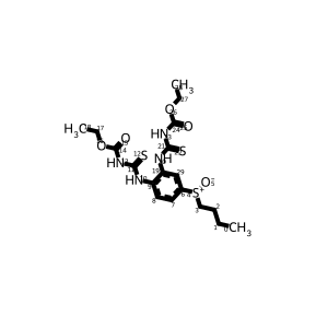 CCCC[S+]([O-])c1ccc(NC(=S)NC(=O)OCC)c(NC(=S)NC(=O)OCC)c1